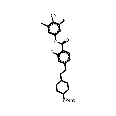 CCCCCC1CCC(CCc2ccc(C(=O)Oc3cc(F)c(C#N)c(F)c3)c(F)c2)CC1